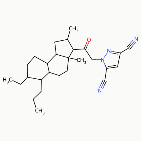 CCCC1C(CC)CCC2C1CCC1(C)C2CC(C)C1C(=O)Cn1nc(C#N)cc1C#N